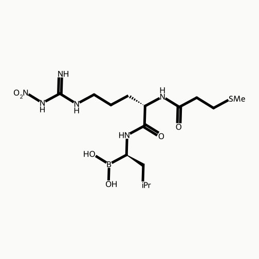 CSCCC(=O)N[C@@H](CCCNC(=N)N[N+](=O)[O-])C(=O)N[C@@H](CC(C)C)B(O)O